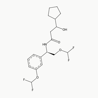 O=C(CC(O)C1CCCC1)N[C@@H](COC(F)F)c1cccc(OC(F)F)c1